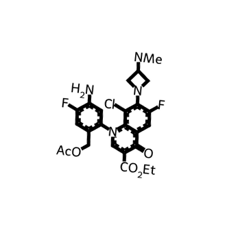 CCOC(=O)c1cn(-c2cc(N)c(F)cc2COC(C)=O)c2c(Cl)c(N3CC(NC)C3)c(F)cc2c1=O